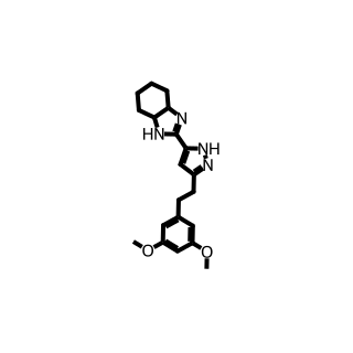 COc1cc(CCc2cc(C3=NC4CCCCC4N3)[nH]n2)cc(OC)c1